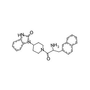 NC(Cc1ccc2ccccc2c1)C(=O)N1CCC(n2c(=O)[nH]c3ccccc32)CC1